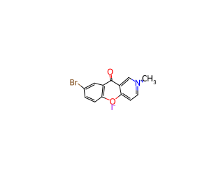 C[n+]1ccc2oc3ccc(Br)cc3c(=O)c2c1.[I-]